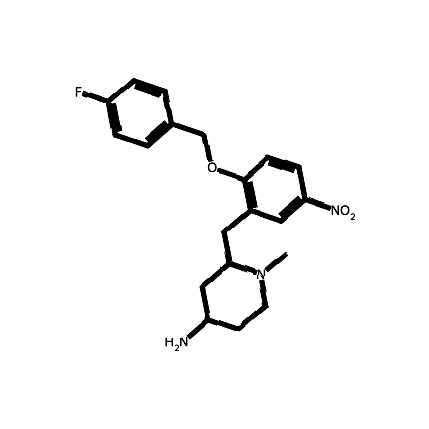 CN1CCC(N)CC1Cc1cc([N+](=O)[O-])ccc1OCc1ccc(F)cc1